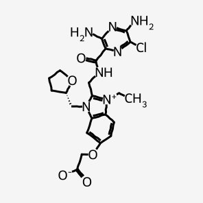 CC[n+]1c(CNC(=O)c2nc(Cl)c(N)nc2N)n(C[C@@H]2CCCO2)c2cc(OCC(=O)[O-])ccc21